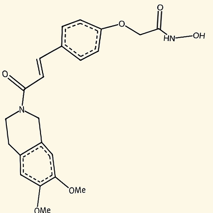 COc1cc2c(cc1OC)CN(C(=O)C=Cc1ccc(OCC(=O)NO)cc1)CC2